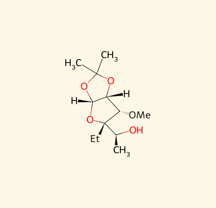 CC[C@@]1([C@H](C)O)O[C@@H]2OC(C)(C)O[C@@H]2[C@@H]1OC